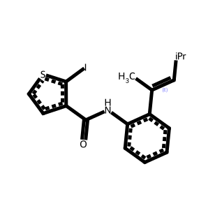 C/C(=C\C(C)C)c1ccccc1NC(=O)c1ccsc1I